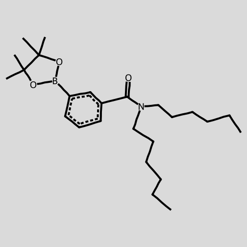 CCCCCCN(CCCCCC)C(=O)c1cccc(B2OC(C)(C)C(C)(C)O2)c1